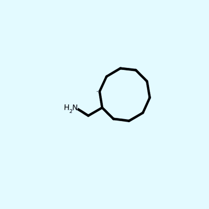 NCC1[CH]CCCCCCCC1